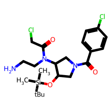 CC(C)(C)[Si](C)(C)OC1CN(C(=O)c2ccc(Cl)cc2)CC1N(CCN)C(=O)CCl